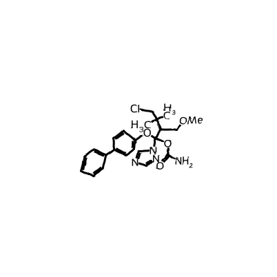 COCC(C(C)(C)CCl)C(OC(N)=O)(Oc1ccc(-c2ccccc2)cc1)n1cncn1